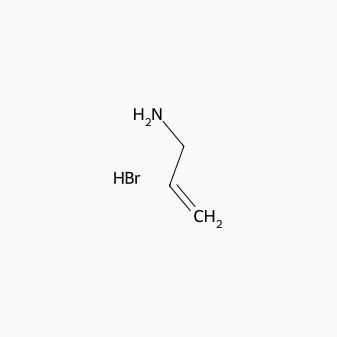 Br.C=CCN